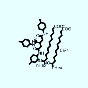 CC1CCC(NC(=O)CC(CC(=O)NC2CCC(C)CC2)C(=O)NC2CCC(C)CC2)CC1.CCCCCCC(O)CCCCCCCCCCC(=O)[O-].CCCCCCC(O)CCCCCCCCCCC(=O)[O-].[Ca+2]